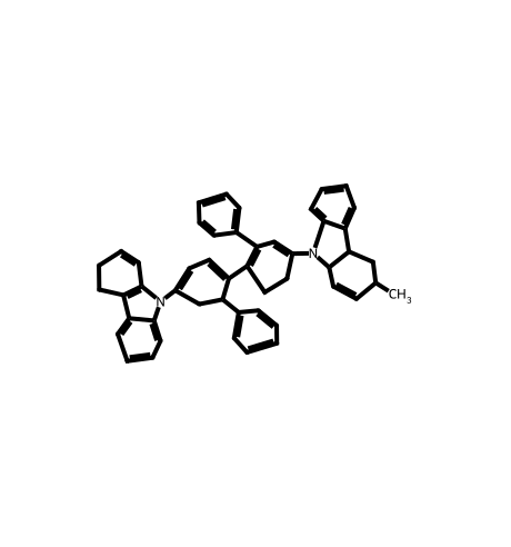 CC1C=CC2C(C1)c1ccccc1N2C1=CC(c2ccccc2)=C(C2=CC=C(n3c4c(c5ccccc53)CCC=C4)CC2c2ccccc2)CC1